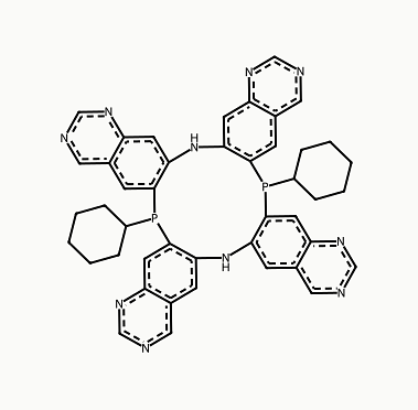 c1ncc2cc3c(cc2n1)Nc1cc2ncncc2cc1P(C1CCCCC1)c1cc2ncncc2cc1Nc1cc2cncnc2cc1P3C1CCCCC1